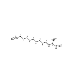 [CH2]CCCCCCCCCCCCCCCCC/C=C/C(CCCCC[CH2])C(C)C